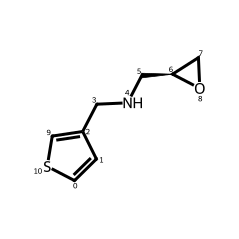 c1cc(CNC[C@H]2CO2)cs1